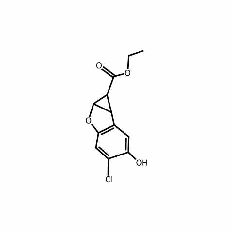 CCOC(=O)C1C2Oc3cc(Cl)c(O)cc3C21